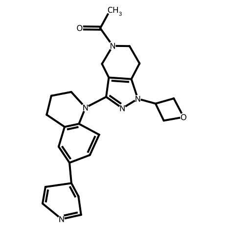 CC(=O)N1CCc2c(c(N3CCCc4cc(-c5ccncc5)ccc43)nn2C2COC2)C1